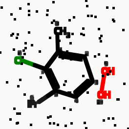 Cc1cccc(C(C)C)c1Cl.OO